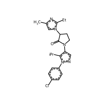 CCc1nc(C)cn1C1CCN(c2cnn(-c3ccc(Cl)cc3)c2C(C)C)C1=O